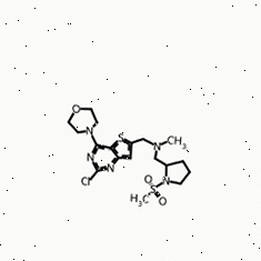 CN(Cc1cc2nc(Cl)nc(N3CCOCC3)c2s1)CC1CCCN1S(C)(=O)=O